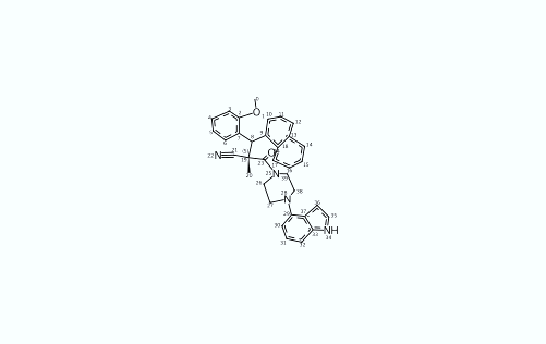 COc1ccccc1C(c1cccc2ccccc12)[C@@](C)(C#N)C(=O)N1CCN(c2cccc3[nH]ccc23)CC1